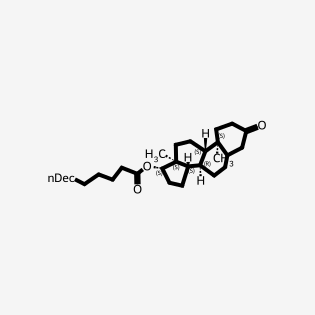 CCCCCCCCCCCCCCC(=O)O[C@H]1CC[C@H]2[C@@H]3CCC4CC(=O)CC[C@]4(C)[C@H]3CC[C@]12C